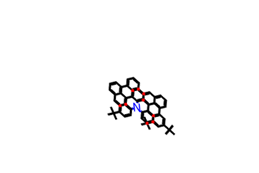 CC(C)(C)c1ccc(N(c2ccccc2-c2cccc3cccc(-c4ccccc4)c23)c2ccccc2-c2cccc3cccc(-c4cc(C(C)(C)C)cc(C(C)(C)C)c4)c23)cc1